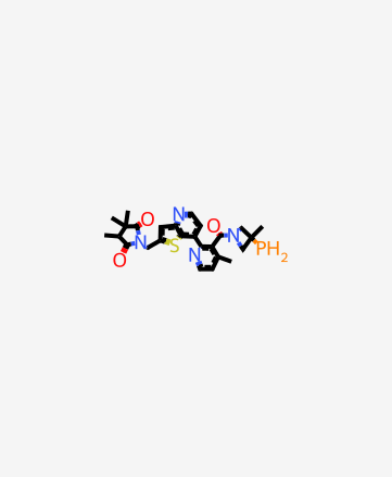 Cc1ccnc(-c2ccnc3cc(CN4C(=O)C(C)C(C)(C)C4=O)sc23)c1C(=O)N1CC(C)(P)C1